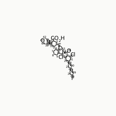 O=C(O)c1cc(F)c(-c2cccc3c2OCN(C(=O)c2c(Cl)cc(N4CC(N5CC(F)C5)C4)cc2Cl)C3)cc1N1C2CCC1COC2